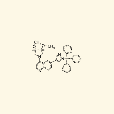 CO[C@H]1CN(c2ccnc3ccc(-c4cnn(C(c5ccccc5)(c5ccccc5)c5ccccc5)c4)cc23)C[C@@H]1OC